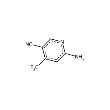 N#Cc1cnc(N)cc1C(F)(F)F